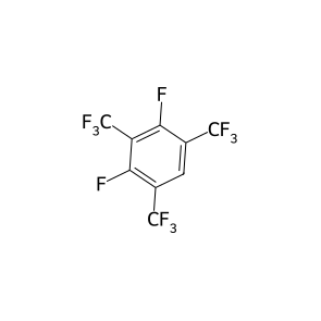 Fc1c(C(F)(F)F)cc(C(F)(F)F)c(F)c1C(F)(F)F